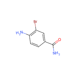 NC(=O)c1ccc(N)c(Br)c1